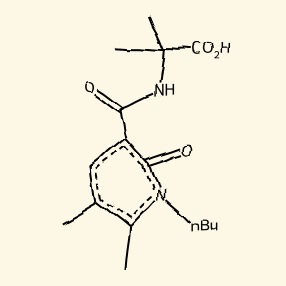 CCCCn1c(C)c(C)cc(C(=O)NC(C)(C)C(=O)O)c1=O